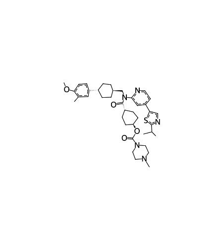 COc1ccc([C@H]2CC[C@H](CN(c3cc(-c4cnc(C(C)C)s4)ccn3)C(=O)[C@H]3CC[C@H](OC(=O)N4CCN(C)CC4)CC3)CC2)cc1C